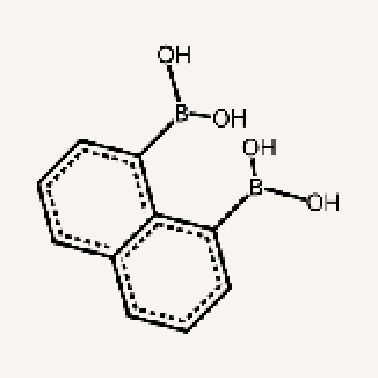 OB(O)c1cccc2cccc(B(O)O)c12